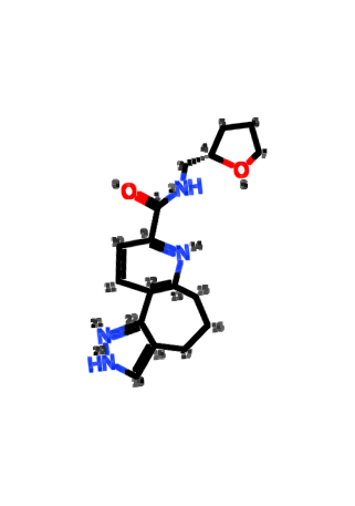 O=C(NC[C@@H]1CCCO1)c1ccc2c(n1)CCCc1c[nH]nc1-2